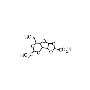 O=C(O)C1OC2OC3C(CO)OC(C(=O)O)OC3C2O1